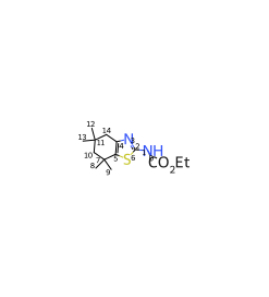 CCOC(=O)Nc1nc2c(s1)C(C)(C)CC(C)(C)C2